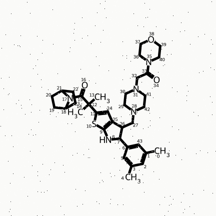 Cc1cc(C)cc(C2Nc3sc(C(C)(C)C(=O)N4C5CCC4CC5)cc3C2CN2CCN(CC(=O)N3CCOCC3)CC2)c1